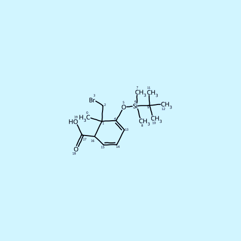 CC1(CBr)C(O[Si](C)(C)C(C)(C)C)=CC=CC1C(=O)O